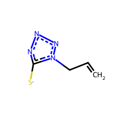 C=CCn1nnnc1[S]